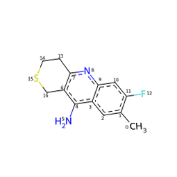 Cc1cc2c(N)c3c(nc2cc1F)CCSC3